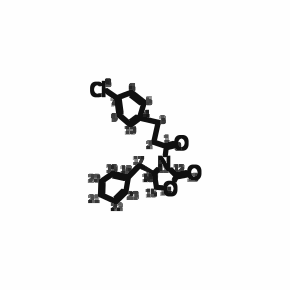 O=C(CCc1ccc(Cl)cc1)N1C(=O)OC[C@H]1Cc1ccccc1